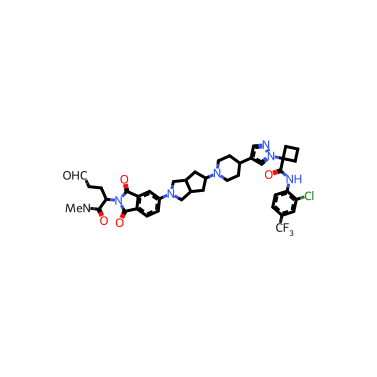 CNC(=O)C(CCC=O)N1C(=O)c2ccc(N3CC4CC(N5CCC(c6cnn(C7(C(=O)Nc8ccc(C(F)(F)F)cc8Cl)CCC7)c6)CC5)CC4C3)cc2C1=O